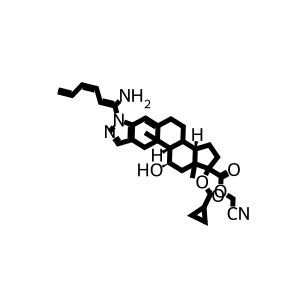 C=C/C=C\C=C(/N)n1ncc2c1C=C1CCC3[C@H]([C@@H](O)CC4(C)[C@H]3CCC4(OC(=O)C3CC3)C(=O)OCC#N)C1(C)C2